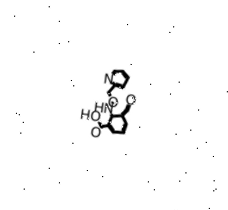 O=C=C1C=CC=C(C(=O)O)C1NOCc1ccccn1